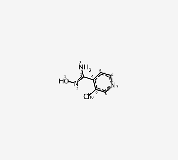 N/C(=N\O)c1ccncc1Cl